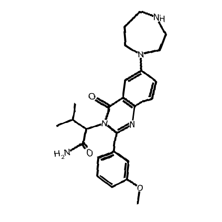 COc1cccc(-c2nc3ccc(N4CCCNCC4)cc3c(=O)n2C(C(N)=O)C(C)C)c1